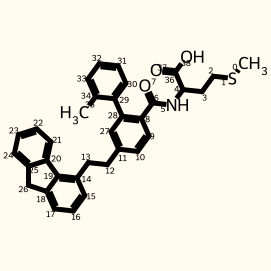 CSCCC(NC(=O)c1ccc(CCc2cccc3c2-c2ccccc2C3)cc1-c1ccccc1C)C(=O)O